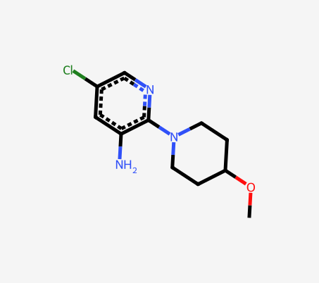 COC1CCN(c2ncc(Cl)cc2N)CC1